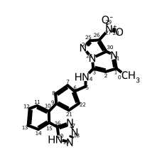 Cc1cc(NCc2ccc(-c3ccccc3-c3nnn[nH]3)cc2)n2ncc([N+](=O)[O-])c2n1